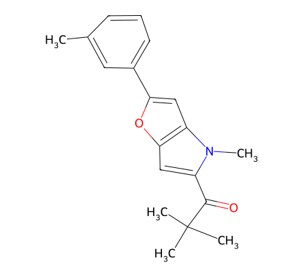 Cc1cccc(-c2cc3c(cc(C(=O)C(C)(C)C)n3C)o2)c1